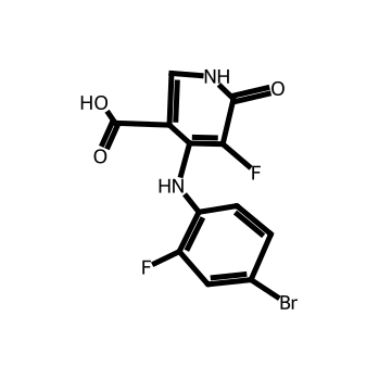 O=C(O)c1c[nH]c(=O)c(F)c1Nc1ccc(Br)cc1F